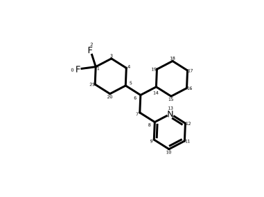 FC1(F)CCC(C(Cc2ccccn2)C2CCCCC2)CC1